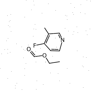 CCOC=O.Cc1cnccc1F